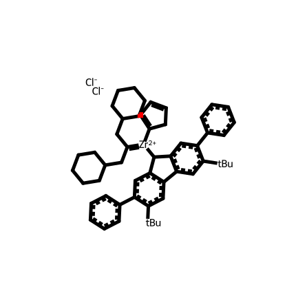 CC(C)(C)c1cc2c(cc1-c1ccccc1)[CH]([Zr+2]([C]1=CC=CC1)=[C](CC1CCCCC1)CC1CCCCC1)c1cc(-c3ccccc3)c(C(C)(C)C)cc1-2.[Cl-].[Cl-]